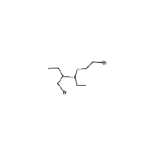 CCC(CBr)C(CC)CCCBr